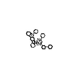 C1=CCCC(C2=NC(n3c4c(c5cc6c7ccccc7n(C7=CCCC=C7)c6cc53)C=CCC4)NC(c3cccc(-c4ccccc4)c3)=C2)=C1